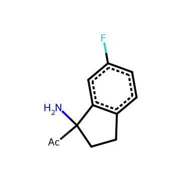 CC(=O)C1(N)CCc2ccc(F)cc21